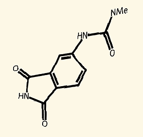 CNC(=O)Nc1ccc2c(c1)C(=O)NC2=O